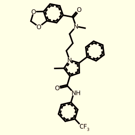 Cc1c(C(=O)Nc2cccc(C(F)(F)F)c2)cc(-c2ccccc2)n1CCCN(C)C(=O)c1ccc2c(c1)OCO2